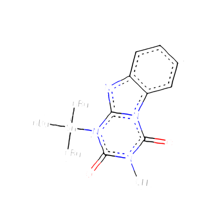 CCC[CH2][Sn]([CH2]CCC)([CH2]CCC)[n]1c(=O)n(C)c(=O)n2c3ccccc3nc12